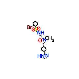 CN(CCc1ccc(C2=NCCN2)cc1)C(=O)CCNCS(=O)(=O)c1ccccc1Br